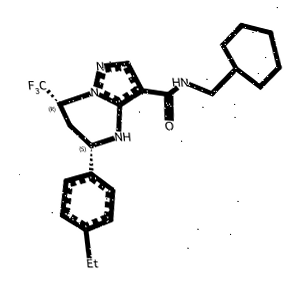 CCc1ccc([C@@H]2C[C@H](C(F)(F)F)n3ncc(C(=O)NCC4CCCCC4)c3N2)cc1